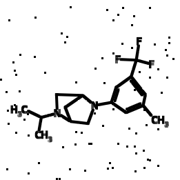 Cc1cc(N2CC3CC2CN3C(C)C)cc(C(F)(F)F)c1